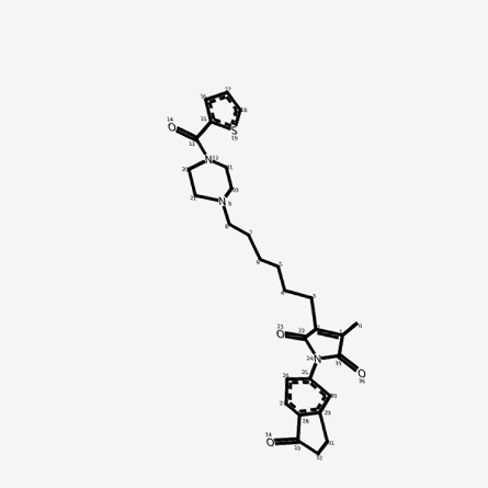 CC1=C(CCCCCCN2CCN(C(=O)c3cccs3)CC2)C(=O)N(c2ccc3c(c2)CCC3=O)C1=O